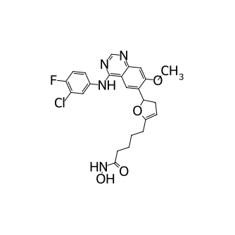 COc1cc2ncnc(Nc3ccc(F)c(Cl)c3)c2cc1C1CC=C(CCCCC(=O)NO)O1